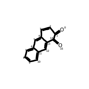 O=C1[C]=Cc2cc3ccccc3cc2C1=O